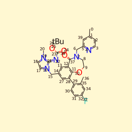 Cc1ccnc(CN2CCOc3c(cc(Cn4ccn(C)c4=NC(=O)OC(C)(C)C)cc3-c3ccc(F)cc3C)C2=O)c1